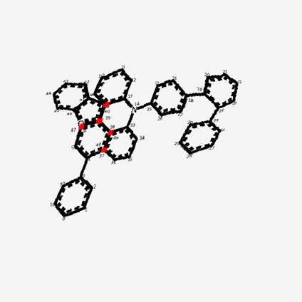 c1ccc(-c2ccc(-c3ccccc3N(c3ccc(-c4ccccc4-c4ccccc4)cc3)c3ccccc3-c3cc4ccccc4o3)cc2)cc1